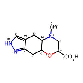 CCCN1CC(C(=O)O)OC2Cc3n[nH]cc3CC21